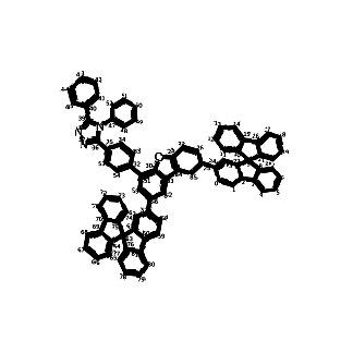 C1=CC2c3ccccc3C3(c4ccccc4-c4ccccc43)C2C=C1C1C=Cc2oc3c(-c4ccc(-c5nnc(-c6ccccc6)n5-c5ccccc5)cc4)cc(-c4ccc5c(c4)C4(c6ccccc6-c6ccccc64)c4ccccc4-5)cc3c2C1